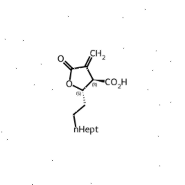 C=C1C(=O)O[C@@H](CCCCCCCCC)[C@@H]1C(=O)O